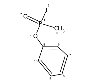 CP(=O)(I)Oc1ccccc1